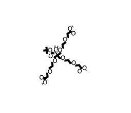 COC(=O)CCOCCCOCC(COCCCOCCC(=O)OC)(COCCCOCCC(=O)OC)NC(=O)OC(C)(C)C